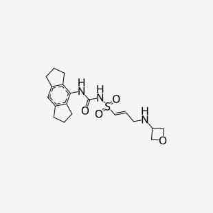 O=C(Nc1c2c(cc3c1CCC3)CCC2)NS(=O)(=O)/C=C/CNC1COC1